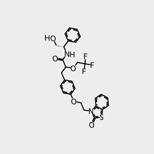 O=C(N[C@H](CO)c1ccccc1)C(Cc1ccc(OCCn2c(=O)sc3ccccc32)cc1)OCC(F)(F)F